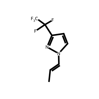 CC=Cn1ccc(C(F)(F)C(F)(F)F)n1